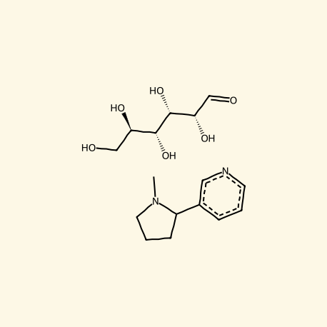 CN1CCCC1c1cccnc1.O=C[C@H](O)[C@@H](O)[C@H](O)[C@H](O)CO